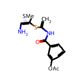 C=C(NC(=O)c1cccc(OC(C)=O)c1)S/C(=C\N)SC